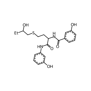 CCC(O)CSCCC(NC(=O)c1cccc(O)c1)C(=O)Nc1cccc(O)c1